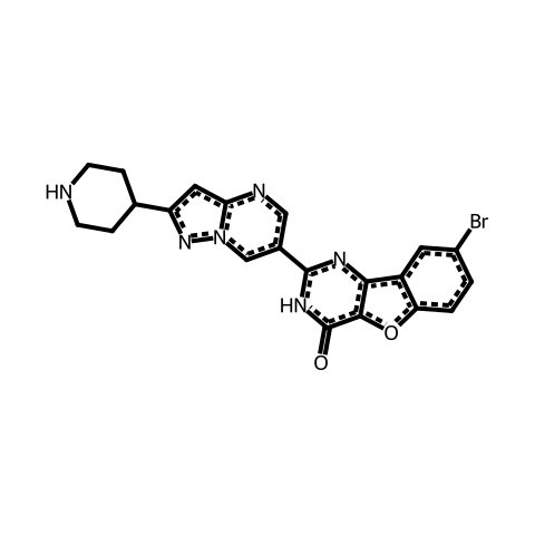 O=c1[nH]c(-c2cnc3cc(C4CCNCC4)nn3c2)nc2c1oc1ccc(Br)cc12